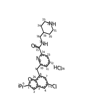 CC(C)c1cc2cc(Cl)cc(Cc3cccc(C(=O)NCC4CCNCC4)n3)c2o1.Cl